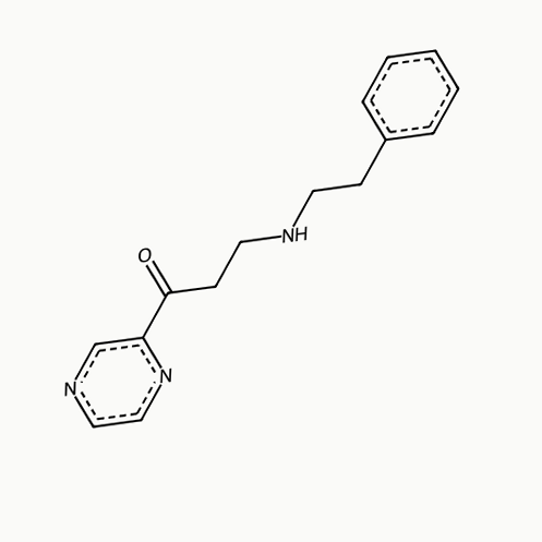 O=C(CCNCCc1ccccc1)c1cnccn1